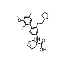 COc1cc(C)cc(-c2ccc(NC3(C(=O)O)CCOCC3)cc2CCC2CCCC2)c1F